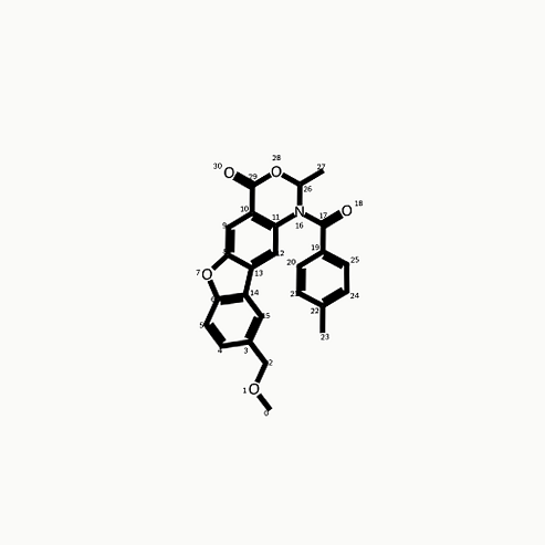 COCc1ccc2oc3cc4c(cc3c2c1)N(C(=O)c1ccc(C)cc1)C(C)OC4=O